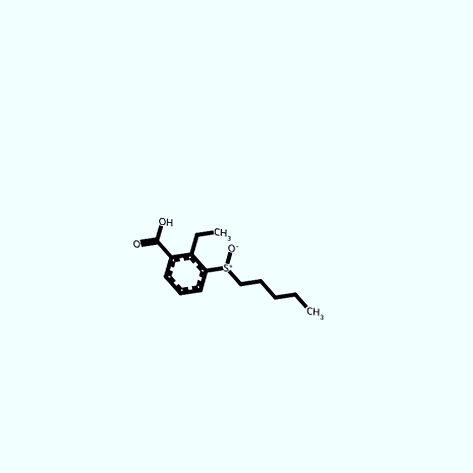 CCCCC[S+]([O-])c1cccc(C(=O)O)c1CC